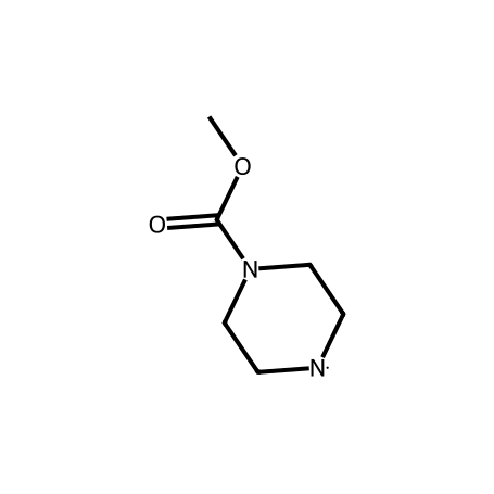 COC(=O)N1CC[N]CC1